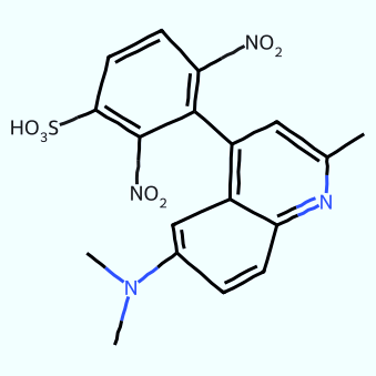 Cc1cc(-c2c([N+](=O)[O-])ccc(S(=O)(=O)O)c2[N+](=O)[O-])c2cc(N(C)C)ccc2n1